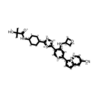 CC(C)(O)C(=O)NC1CCC(c2nnc(-c3cnc(-c4ccc5cc(C#N)cnn45)cc3NC3COC3)s2)CC1